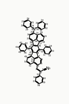 N#CC(=Cc1ccc2c3c(-c4ccccc4)c4c5cccc6c(N(c7ccccc7)c7ccccc7)ccc(c4c(-c4ccccc4)c3c3cccc1c23)c65)c1ccccc1